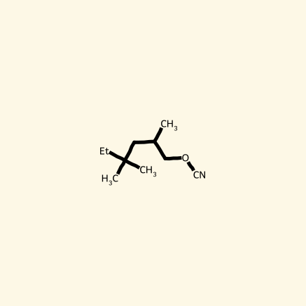 CCC(C)(C)CC(C)COC#N